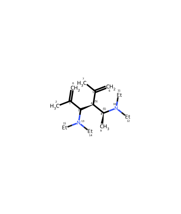 C=C(C)C([C@@H](C(=C)C)[C@H](C)N(CC)CC)N(CC)CC